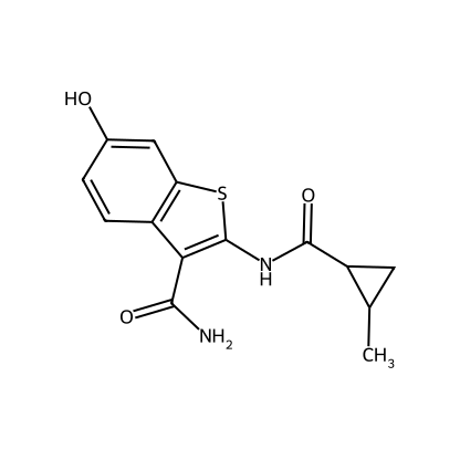 CC1CC1C(=O)Nc1sc2cc(O)ccc2c1C(N)=O